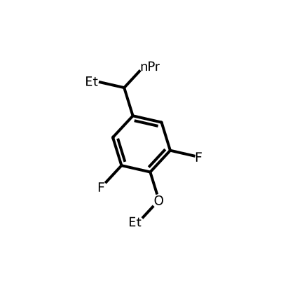 CCCC(CC)c1cc(F)c(OCC)c(F)c1